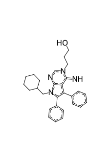 N=c1c2c(-c3ccccc3)c(-c3ccccc3)n(CC3CCCCC3)c2ncn1CCCO